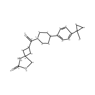 CC1(c2ccc(C3CCN(C(=O)C4CC5(COC(=O)N5)C4)CC3)cc2)CC1